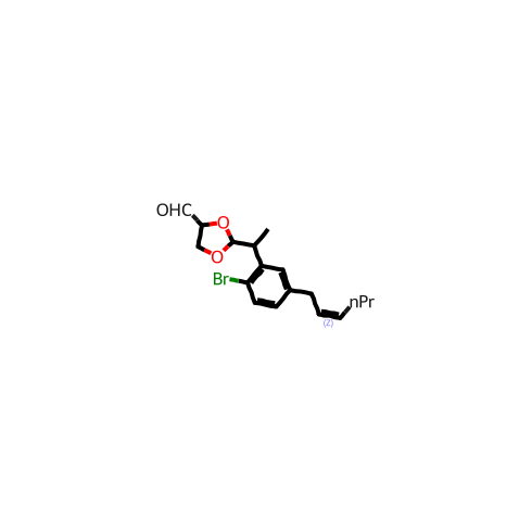 CCC/C=C\Cc1ccc(Br)c(C(C)C2OCC(C=O)O2)c1